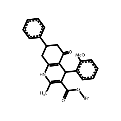 COc1ccccc1C1C(C(=O)OC(C)C)=C(C)NC2=C1C(=O)CC(c1ccccc1)C2